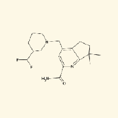 CC1(C)CCc2c(CN3CCCC(C(F)F)C3)cc(C(N)=O)nc21